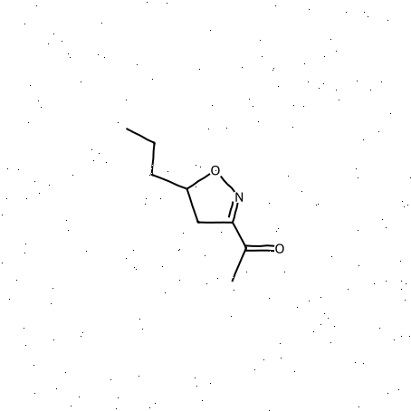 CCCC1CC(C(C)=O)=NO1